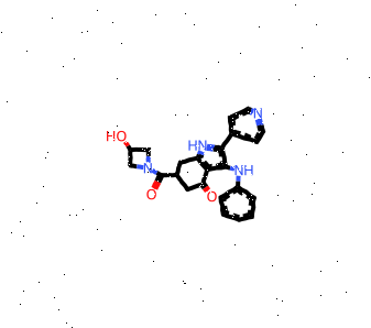 O=C1CC(C(=O)N2CC(O)C2)Cc2[nH]c(-c3ccncc3)c(Nc3ccccc3)c21